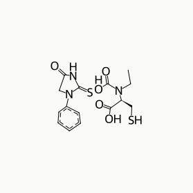 CCN(C(=O)O)[C@@H](CS)C(=O)O.O=C1CN(c2ccccc2)C(=S)N1